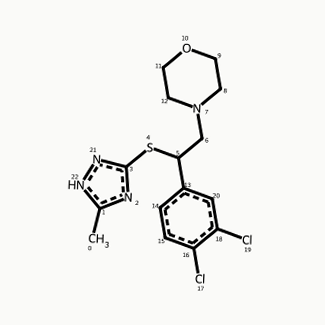 Cc1nc(SC(CN2CCOCC2)c2ccc(Cl)c(Cl)c2)n[nH]1